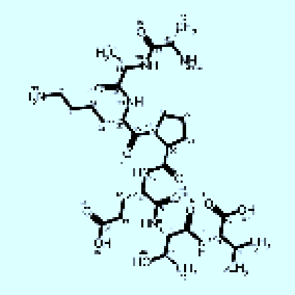 CC(C)[C@H](NC(=O)[C@@H](NC(=O)[C@H](CCC(=O)O)NC(=O)[C@@H]1CCCN1C(=O)[C@H](CCCCN)NC(=O)[C@H](C)NC(=O)[C@H](C)N)[C@@H](C)O)C(=O)O